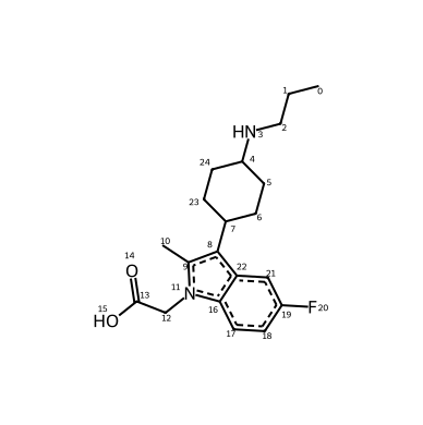 CCCNC1CCC(c2c(C)n(CC(=O)O)c3ccc(F)cc23)CC1